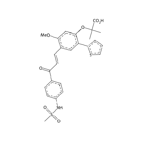 COc1cc(OC(C)(C)C(=O)O)c(-c2cccs2)cc1C=CC(=O)c1ccc(NS(C)(=O)=O)cc1